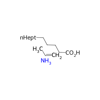 C=CC.CCCCCCCCCCCC(=O)O.N